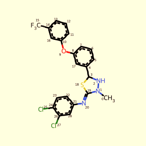 CN1NC(c2cccc(Oc3cccc(C(F)(F)F)c3)c2)SC1=Nc1ccc(Cl)c(Cl)c1